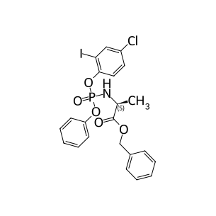 C[C@H](NP(=O)(Oc1ccccc1)Oc1ccc(Cl)cc1I)C(=O)OCc1ccccc1